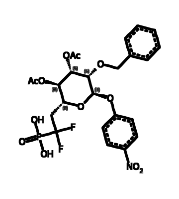 CC(=O)O[C@@H]1[C@H](OCc2ccccc2)[C@@H](Oc2ccc([N+](=O)[O-])cc2)O[C@H](CC(F)(F)P(=O)(O)O)[C@H]1OC(C)=O